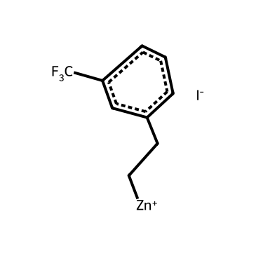 FC(F)(F)c1cccc(C[CH2][Zn+])c1.[I-]